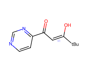 CC(C)(C)/C(O)=C/C(=O)c1ccncn1